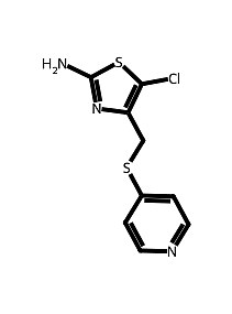 Nc1nc(CSc2ccncc2)c(Cl)s1